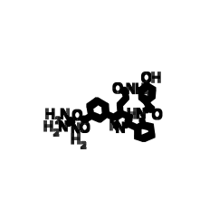 NC(=O)CCc1cc(-c2ccccc2NC(=O)c2ccc(O)cc2)nnc1-c1cccc(C(=O)OC(N)(N)N)c1